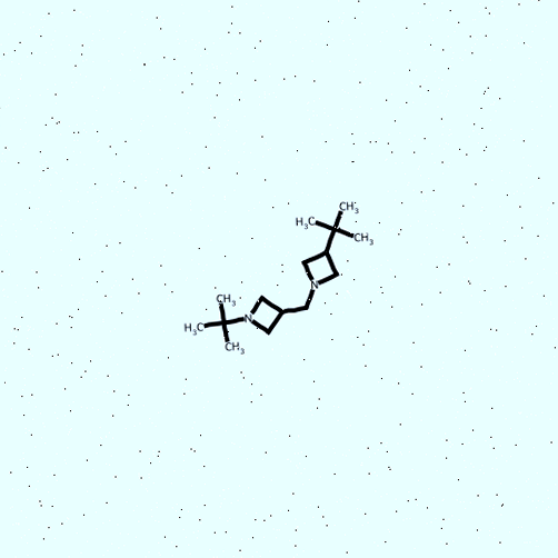 CC(C)(C)C1CN(CC2CN(C(C)(C)C)C2)C1